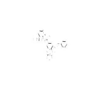 Nc1cccnc1NC(=O)c1ccc(CN2CCCC2=O)c(OCc2ccccc2)c1